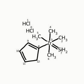 Cl.Cl.[CH3][Zr]([CH3])([CH3])([CH3])(=[SiH2])[C]1=CC=CC1